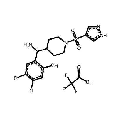 NC(c1cc(Cl)c(Cl)cc1O)C1CCN(S(=O)(=O)c2cn[nH]c2)CC1.O=C(O)C(F)(F)F